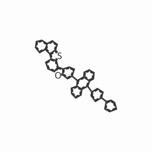 c1ccc(-c2ccc(-c3c4ccccc4c(-c4ccc5c(c4)oc4ccc6c(sc7ccc8ccccc8c76)c45)c4ccccc34)cc2)cc1